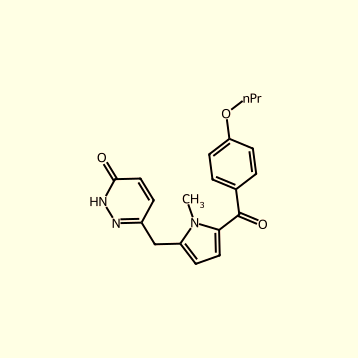 CCCOc1ccc(C(=O)c2ccc(Cc3ccc(=O)[nH]n3)n2C)cc1